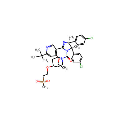 CCOc1cc(C(C)(C)C)ncc1C1=N[C@@](C)(c2ccc(Cl)cc2)[C@@](C)(c2ccc(Cl)cc2)N1C(=O)N1CCC(OCCS(C)(=O)=O)CC1